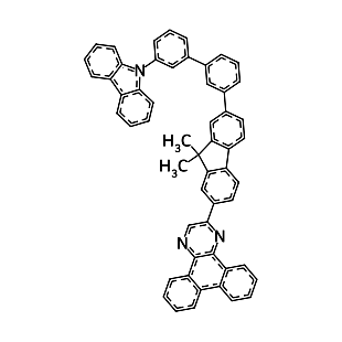 CC1(C)c2cc(-c3cccc(-c4cccc(-n5c6ccccc6c6ccccc65)c4)c3)ccc2-c2ccc(-c3cnc4c5ccccc5c5ccccc5c4n3)cc21